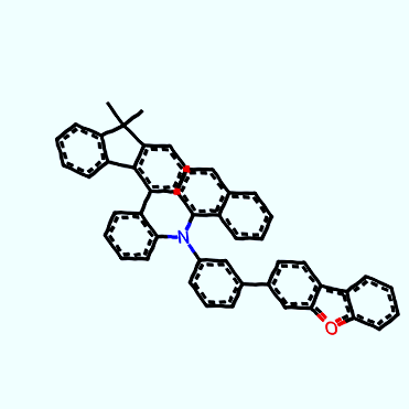 CC1(C)c2ccccc2-c2c(-c3ccccc3N(c3cccc(-c4ccc5c(c4)oc4ccccc45)c3)c3cccc4ccccc34)cccc21